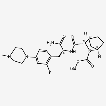 CN1CCN(c2ccc(C[C@H](NC(=O)[C@@H]3[C@H]4CC[C@H](C4)N3C(=O)OC(C)(C)C)C(N)=O)c(F)c2)CC1